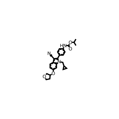 CC(C)OC(=O)Nc1ccc(-c2c(C#N)c3ccc(OC4CCOC4)cc3n2CC2CC2)cc1